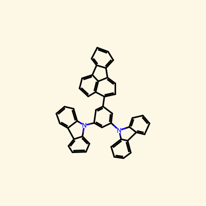 c1ccc2c(c1)-c1cccc3c(-c4cc(-n5c6ccccc6c6ccccc65)cc(-n5c6ccccc6c6ccccc65)c4)ccc-2c13